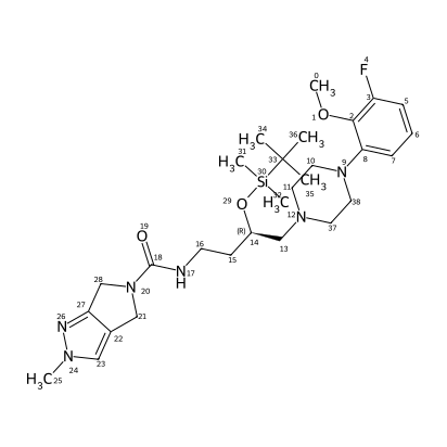 COc1c(F)cccc1N1CCN(C[C@@H](CCNC(=O)N2Cc3cn(C)nc3C2)O[Si](C)(C)C(C)(C)C)CC1